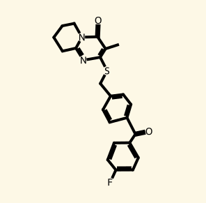 Cc1c(SCc2ccc(C(=O)c3ccc(F)cc3)cc2)nc2n(c1=O)CCCC2